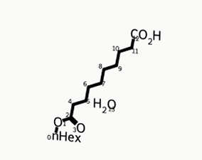 CCCCCCOC(=O)CCCCCCCCC(=O)O.O